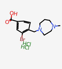 CN1CCCN(Cc2ccc(C(=O)O)cc2Br)CC1.Cl.Cl